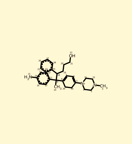 CN1CCN(C2=CC=C(C(C)(c3ccc(N)cc3)C(CCCO)c3ccccc3)CC2)CC1